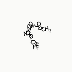 CCOC(=O)CC[C@H]1CN(c2cncc(OC[C@H]3CC[C@H](C(F)(F)F)CC3)c2)CCO1